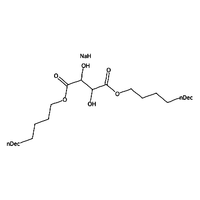 CCCCCCCCCCCCCCOC(=O)C(O)C(O)C(=O)OCCCCCCCCCCCCCC.[NaH]